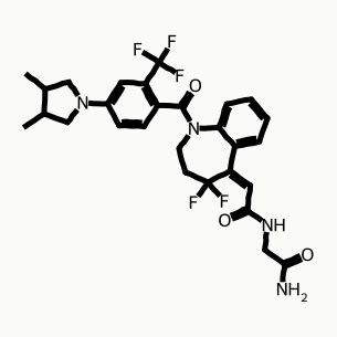 CC1CN(c2ccc(C(=O)N3CCC(F)(F)C(=CC(=O)NCC(N)=O)c4ccccc43)c(C(F)(F)F)c2)CC1C